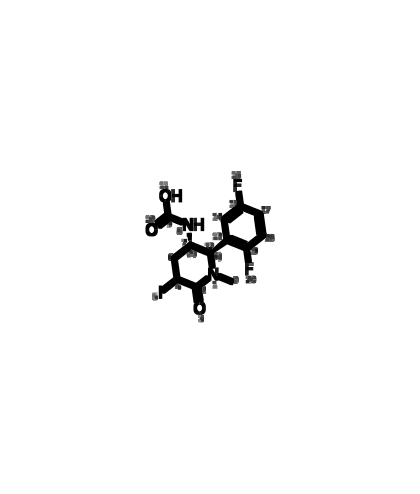 CN1C(=O)C(I)C[C@H](NC(=O)O)[C@H]1c1cc(F)ccc1F